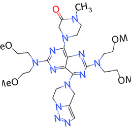 COCCN(CCOC)c1nc(N2CCn3nncc3C2)c2nc(N(CCOC)CCOC)nc(N3CCN(C)C(=O)C3)c2n1